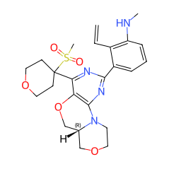 C=Cc1c(NC)cccc1-c1nc2c(c(C3(S(C)(=O)=O)CCOCC3)n1)OC[C@H]1COCCN21